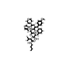 CCCCNC(=O)[C@@H](C[C@H](O)[C@H](CC1CCCCC1)NC(=O)[C@H](Cc1cscn1)NC(=O)[C@@H](CC(=O)N1CCOCC1)Cc1ccc(OC)cc1)C(C)C